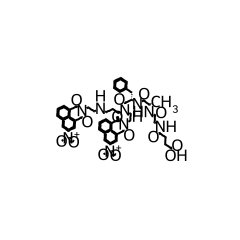 C[C@H](NC(=O)CNC(=O)CCC(=O)O)C(=O)N[C@@H](Cc1ccccc1)C(=O)N(CCCNCCN1C(=O)c2cccc3cc([N+](=O)[O-])cc(c23)C1=O)CCN1C(=O)c2cccc3cc([N+](=O)[O-])cc(c23)C1=O